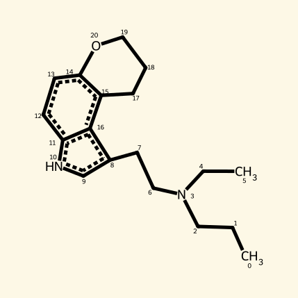 CCCN(CC)CCc1c[nH]c2ccc3c(c12)CCCO3